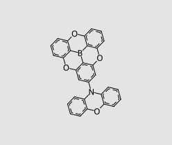 c1ccc2c(c1)Oc1ccccc1N2c1cc2c3c(c1)Oc1cccc4c1B3c1c(cccc1O2)O4